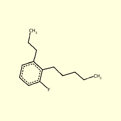 C[CH]CCCc1c(F)cccc1CCC